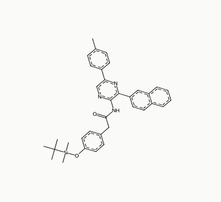 Cc1ccc(-c2cnc(NC(=O)Cc3ccc(O[Si](C)(C)C(C)(C)C)cc3)c(-c3ccc4ccccc4c3)n2)cc1